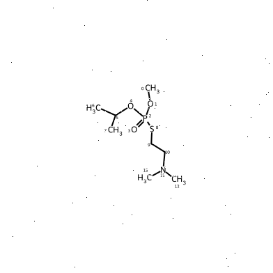 COP(=O)(OC(C)C)SCCN(C)C